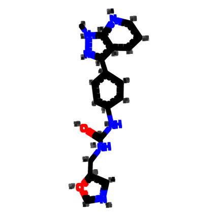 Cn1nc(-c2ccc(NC(=O)NCc3cnco3)cc2)c2cccnc21